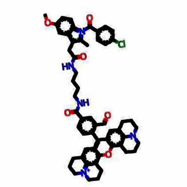 COc1ccc2c(c1)c(CC(=O)NCCCCNC(=O)c1ccc(C3=c4cc5c6c(c4Oc4c3cc3c7c4CCCN7CCC3)CCC[N+]=6CCC5)c(C=O)c1)c(C)n2C(=O)c1ccc(Cl)cc1